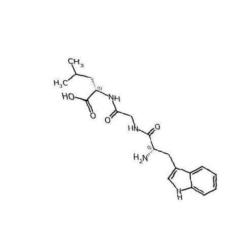 CC(C)C[C@H](NC(=O)CNC(=O)[C@@H](N)Cc1c[nH]c2ccccc12)C(=O)O